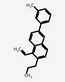 C=Cc1c(CCC)ccc2cc(-c3cccc(C)c3)ccc12